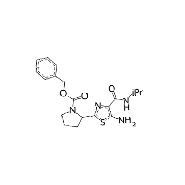 CC(C)NC(=O)c1nc(C2CCCN2C(=O)OCc2ccccc2)sc1N